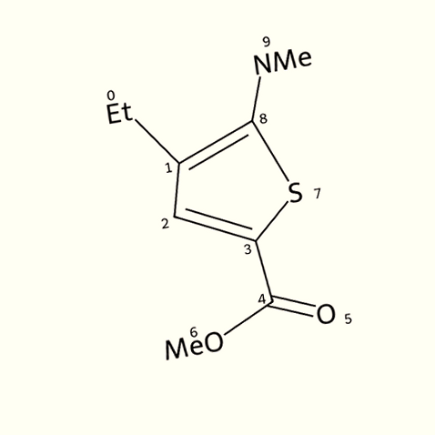 CCc1cc(C(=O)OC)sc1NC